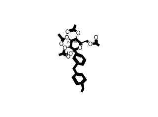 CCc1ccc(Cc2cccc([C@@]3(O)O[C@H](COC(C)=O)[C@@H](OC(C)=O)[C@H](OC(C)=O)[C@H]3OC(C)=O)c2)cc1